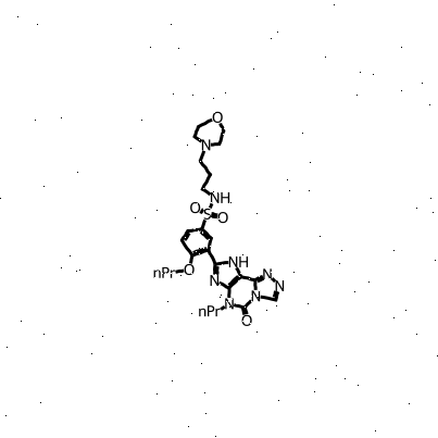 CCCOc1ccc(S(=O)(=O)NCCCN2CCOCC2)cc1-c1nc2c([nH]1)c1nncn1c(=O)n2CCC